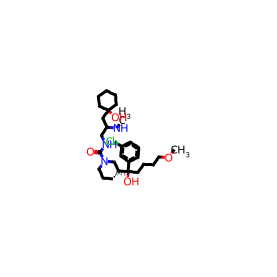 CNC(CNC(=O)N1CCC[C@@H]([C@@](O)(CCCCOC)c2cccc(Cl)c2)C1)CC1(O)CCCCC1